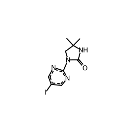 CC1(C)CN(c2ncc(I)cn2)C(=O)N1